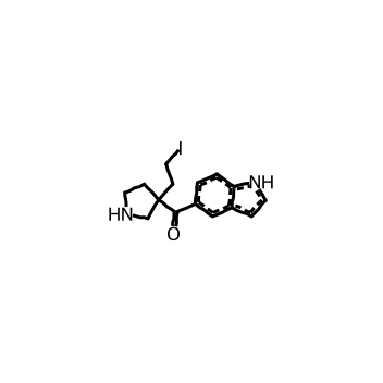 O=C(c1ccc2[nH]ccc2c1)C1(CCI)CCNC1